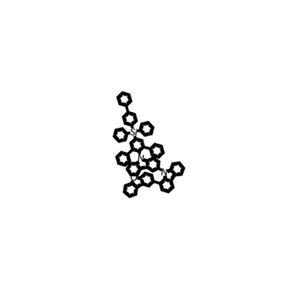 c1ccc(-c2ccc([Si](c3ccccc3)(c3ccccc3)c3cc(-c4ccccc4)c(-n4c5ccccc5c5cc(-n6c7ccccc7c7cccc(-c8ccc9oc%10ccccc%10c9c8)c76)ccc54)c(-c4ccccc4)c3)cc2)cc1